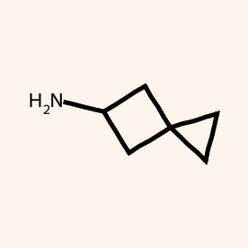 NC1CC2(CC2)C1